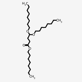 CCCCCCC[CH]OC(=O)CCC(OCCCCCCCC)OCCCCCCCC